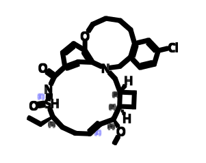 CC[C@@H]1CC/C=C/[C@H](OC)[C@@H]2CC[C@H]2CN2Cc3ccc(Cl)cc3CCCCOc3ccc(cc32)C(=O)/N=[SH]\1=O